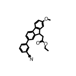 CCOC(=O)CC1c2cc(OC)ccc2-c2ccc(-c3cccc(C#N)c3)cc21